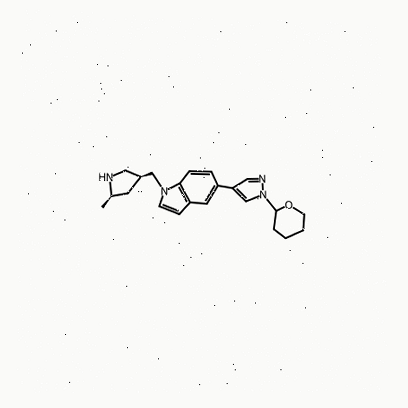 C[C@@H]1C[C@H](Cn2ccc3cc(-c4cnn(C5CCCCO5)c4)ccc32)CN1